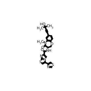 CN1C(=O)[C@@H](NC(=O)c2cn3c(-c4cscn4)csc3n2)COc2ccc(C#CC(C)(C)O)cc21